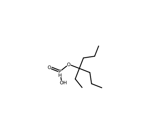 CCCC(CC)(CCC)O[PH](=O)O